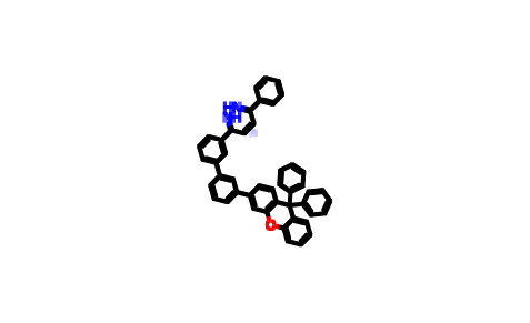 N=C(/C=C\C(=N)c1cccc(-c2cccc(-c3ccc4c(c3)Oc3ccccc3C4(c3ccccc3)c3ccccc3)c2)c1)c1ccccc1